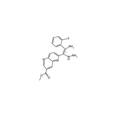 COC(=O)c1cnc2ccc(/C(NN)=C(/N)c3ccccc3F)nc2c1